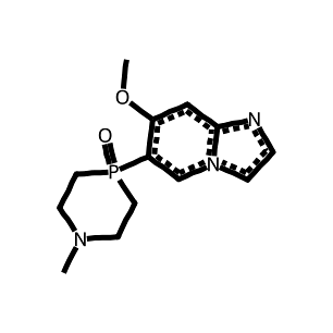 COc1cc2nccn2cc1P1(=O)CCN(C)CC1